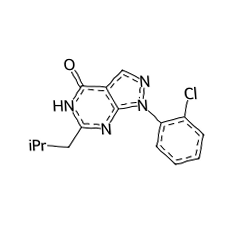 CC(C)Cc1nc2c(cnn2-c2ccccc2Cl)c(=O)[nH]1